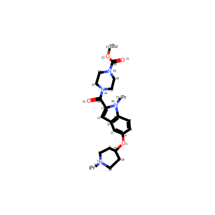 CC(C)N1CCC(Oc2ccc3c(c2)cc(C(=O)N2CCN(C(=O)OC(C)(C)C)CC2)n3C(C)C)CC1